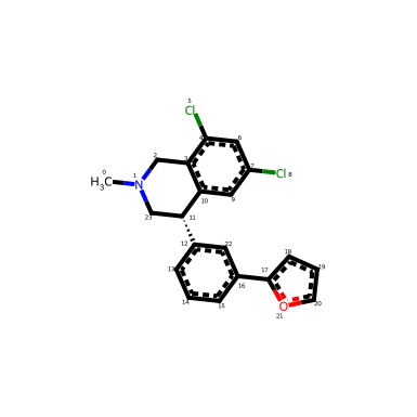 CN1Cc2c(Cl)cc(Cl)cc2[C@H](c2cccc(-c3ccco3)c2)C1